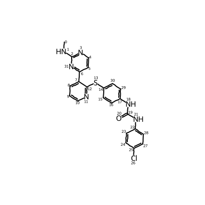 CNc1nccc(-c2cccnc2Sc2ccc(NC(=O)Nc3ccc(Cl)cc3)cc2)n1